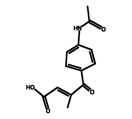 CC(=O)Nc1ccc(C(=O)C(C)=CC(=O)O)cc1